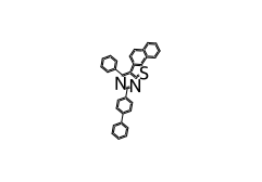 c1ccc(-c2ccc(-c3nc(-c4ccccc4)c4c(n3)sc3c5ccccc5ccc34)cc2)cc1